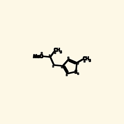 COC(C)Cc1csc(C)c1